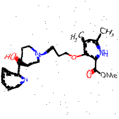 COC(=O)c1[nH]c(C)c(C)c1OCCCN1CCC(O)(c2ccccn2)CC1